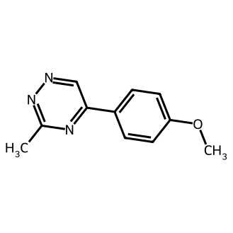 COc1ccc(-c2cnnc(C)n2)cc1